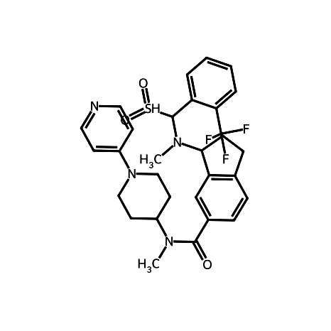 CN(C(=O)c1ccc2c(c1)C(N(C)C(c1ccccc1C(F)(F)F)[SH](=O)=O)CC2)C1CCN(c2ccncc2)CC1